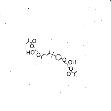 C=C(C)C(=O)OCC(O)CO/C(C)=C/C=C(\C)C(C)(C)c1ccc(OCC(O)COC(=O)C(=C)C)cc1